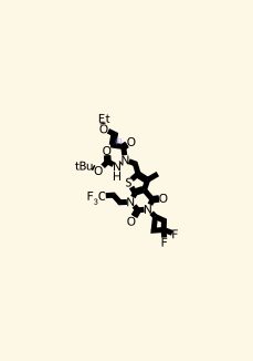 CCO/C=C/C(=O)N(Cc1sc2c(c1C)c(=O)n(C1CC(F)(F)C1)c(=O)n2CCC(F)(F)F)NC(=O)OC(C)(C)C